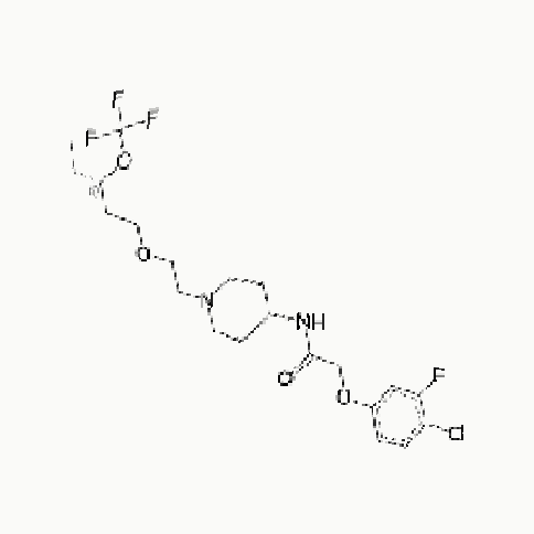 CC[C@@H](CCOCCN1CCC(NC(=O)COc2ccc(Cl)c(F)c2)CC1)OC(F)(F)F